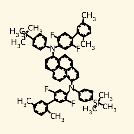 Cc1ccc(C)c(-c2cc(F)c(N(c3ccc([Si](C)(C)C)cc3)c3ccc4ccc5c(N(c6ccc([Si](C)(C)C)cc6)c6cc(F)c(-c7cc(C)ccc7C)cc6F)ccc6ccc3c4c65)cc2F)c1